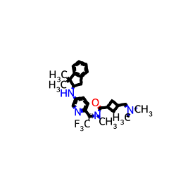 CN(C(=O)C1CC(C=[N+](C)C)C1)[C@@H](c1ccc(NC2Cc3ccccc3C2(C)C)cn1)C(F)(F)F